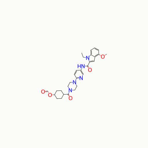 CCn1c(C(=O)Nc2ccc(N3CCN(C(=O)C4CCC(OC=O)CC4)CC3)nc2)cc2c(OC)cccc21